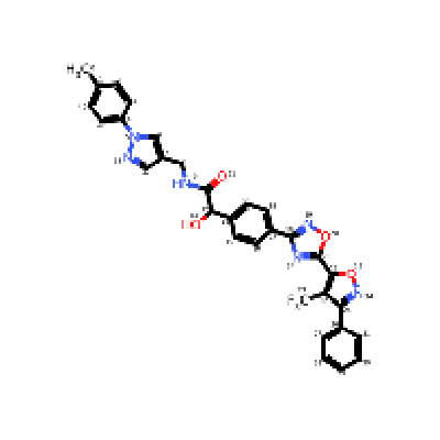 Cc1ccc(-n2cc(CNC(=O)C(O)c3ccc(-c4noc(-c5onc(-c6ccccc6)c5C(F)(F)F)n4)cc3)cn2)cc1